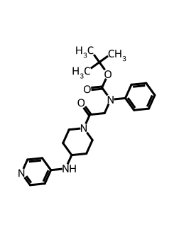 CC(C)(C)OC(=O)N(CC(=O)N1CCC(Nc2ccncc2)CC1)c1ccccc1